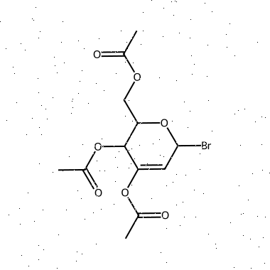 CC(=O)OCC1OC(Br)C=C(OC(C)=O)C1OC(C)=O